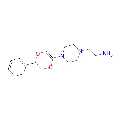 NCCN1CCN(C2=COC(C3=CC=CCC3)=CO2)CC1